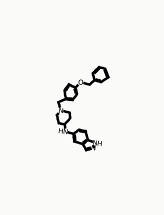 c1ccc(COc2ccc(CN3CCC(Nc4ccc5[nH]ncc5c4)CC3)cc2)cc1